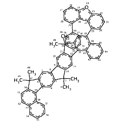 CC1(C)c2cc3c(cc2-c2cc4c(cc21)-c1c(cc(-c2cccc5oc6cccc(-c7ccccc7)c6c25)c2ccccc12)C4(C)C)C(C)(C)c1ccc2ccccc2c1-3